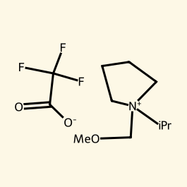 COC[N+]1(C(C)C)CCCC1.O=C([O-])C(F)(F)F